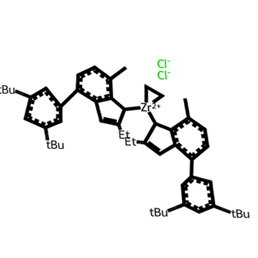 CCC1=Cc2c(-c3cc(C(C)(C)C)cc(C(C)(C)C)c3)ccc(C)c2[CH]1[Zr+2]1([CH]2C(CC)=Cc3c(-c4cc(C(C)(C)C)cc(C(C)(C)C)c4)ccc(C)c32)[CH2][CH2]1.[Cl-].[Cl-]